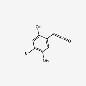 O=C=Cc1cc(O)c(Br)cc1O